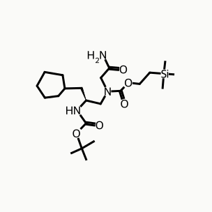 CC(C)(C)OC(=O)N[C@@H](CC1CCCCC1)CN(CC(N)=O)C(=O)OCC[Si](C)(C)C